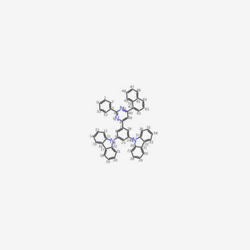 c1ccc(-c2nc(-c3cc(-n4c5ccccc5c5ccccc54)cc(-n4c5ccccc5c5ccccc54)c3)cc(-c3cccc4ccccc34)n2)cc1